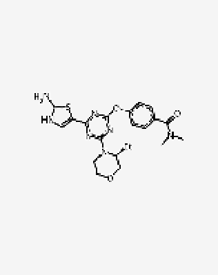 CC[C@H]1COCCN1c1nc(Oc2ccc(C(=O)N(C)C)cc2)nc(C2=CNC(N)S2)n1